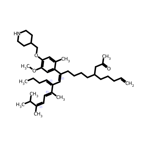 C=CCCCC(CCCC/C(=C/C(=C/CCC)C(/C)=C/C=C(/C)C(C)C)c1cc(OC)c(OCC2CCNCC2)cc1C)CC(C)=O